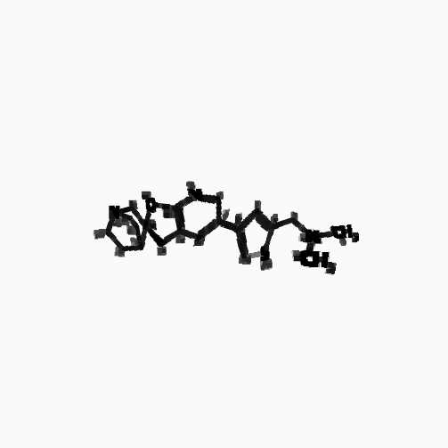 CN(C)Cc1cc(-c2cnc3c(c2)C[C@@]2(CN4CCC2CC4)O3)cs1